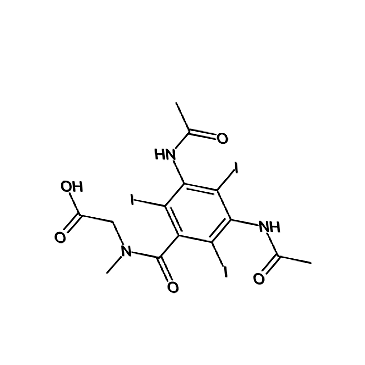 CC(=O)Nc1c(I)c(NC(C)=O)c(I)c(C(=O)N(C)CC(=O)O)c1I